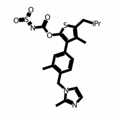 Cc1cc(-c2c(OC(=O)N=S(=O)=O)sc(CC(C)C)c2C)ccc1Cn1ccnc1C